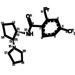 CC(C)c1cc(C(F)(F)F)ccc1C(=O)N[C@H]1CCC[C@H]1N1CCCC1